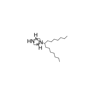 CCCCCCCC(CCCCCCC)N1C[C@@H]2C[C@H]1CN2